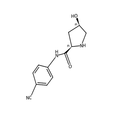 N#Cc1ccc(NC(=O)[C@H]2C[C@@H](O)CN2)cc1